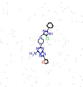 Nc1nc(N2CCN(Cc3nc(-c4ccccc4)[nH]c3Cl)CC2)nc2nc(-c3ccco3)nn12